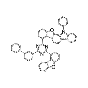 c1ccc(-c2cccc(-c3nc(-c4cccc5oc6ccccc6c45)nc(-c4cccc5oc6c(ccc7c8ccccc8n(-c8ccccc8)c76)c45)n3)c2)cc1